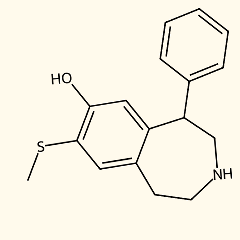 CSc1cc2c(cc1O)C(c1ccccc1)CNCC2